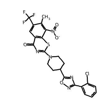 Cc1c(C(F)(F)F)cc2c(=O)nc(N3CCC(c4nc(-c5ccccc5Cl)no4)CC3)sc2c1[N+](=O)[O-]